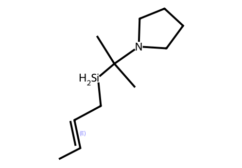 C/C=C/C[SiH2]C(C)(C)N1CCCC1